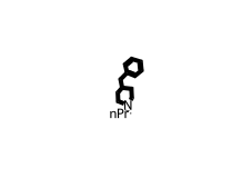 CC[CH]N1CCC(Cc2ccccc2)CC1